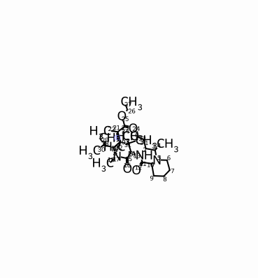 CCCC(C)N1CCCCC1C(=O)N[C@H](C(=O)N(C)[C@H](/C=C(\C)C(=O)OCC)C(C)C)C(C)(C)C